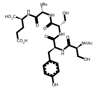 CCCC[C@H](NC(=O)[C@H](CO)NC(=O)[C@H](Cc1ccc(O)cc1)NC(=O)[C@H](CO)NC(C)=O)C(=O)N[C@@H](CCC(=O)O)C(=O)O